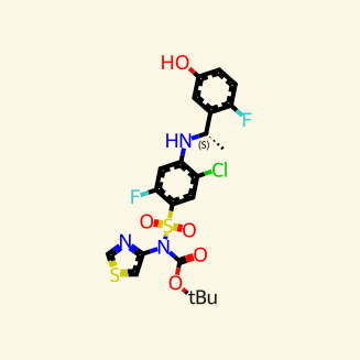 C[C@H](Nc1cc(F)c(S(=O)(=O)N(C(=O)OC(C)(C)C)c2cscn2)cc1Cl)c1cc(O)ccc1F